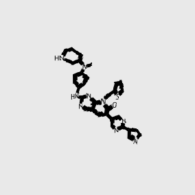 CN(c1ccc(Nc2ncc3cc(-c4cnc(C5=CCN=C5)nc4)c(=O)n(Cc4cccs4)c3n2)cc1)C1CCCNC1